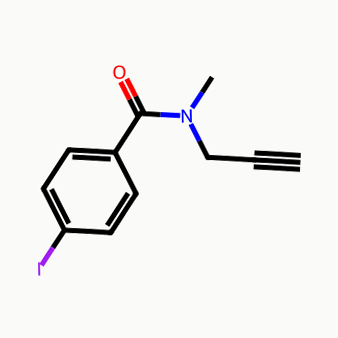 C#CCN(C)C(=O)c1ccc(I)cc1